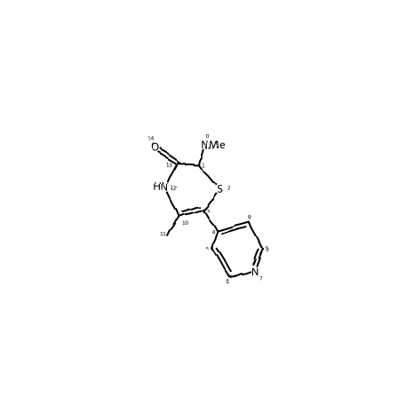 CNC1SC(c2ccncc2)=C(C)NC1=O